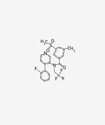 Cc1cc(C(=O)N(CC(F)(F)F)c2cnccc2-c2ccccc2F)cc(S(C)(=O)=O)c1